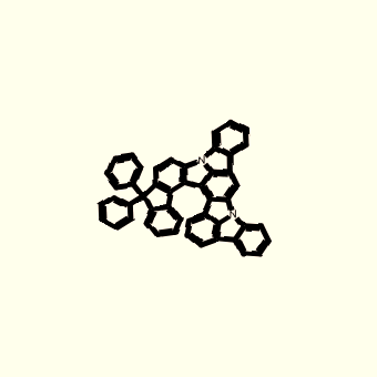 c1ccc(C2(c3ccccc3)c3ccccc3-c3c2ccc2c3c3c4c5cccc6c7ccccc7n(c4cc4c7ccccc7n2c43)c65)cc1